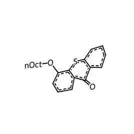 CCCCCCCCOc1cccc2c(=O)c3ccccc3sc12